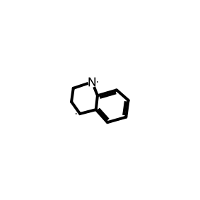 [CH]1CC[N]c2ccccc21